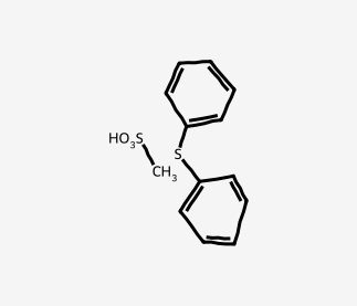 CS(=O)(=O)O.c1ccc(Sc2ccccc2)cc1